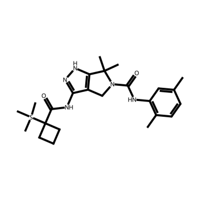 Cc1ccc(C)c(NC(=O)N2Cc3c(NC(=O)C4(S(C)(C)C)CCC4)n[nH]c3C2(C)C)c1